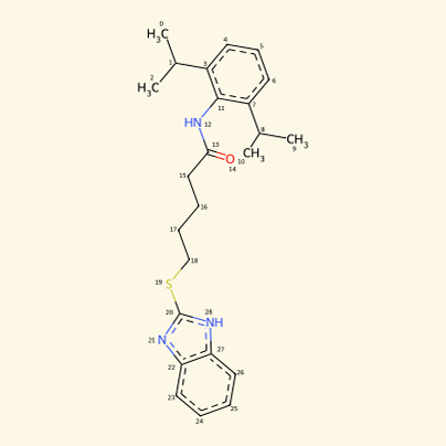 CC(C)c1cccc(C(C)C)c1NC(=O)CCCCSc1nc2ccccc2[nH]1